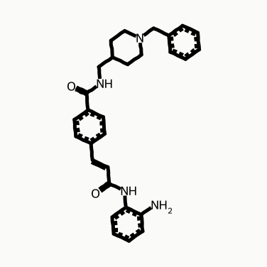 Nc1ccccc1NC(=O)/C=C/c1ccc(C(=O)NCC2CCN(Cc3ccccc3)CC2)cc1